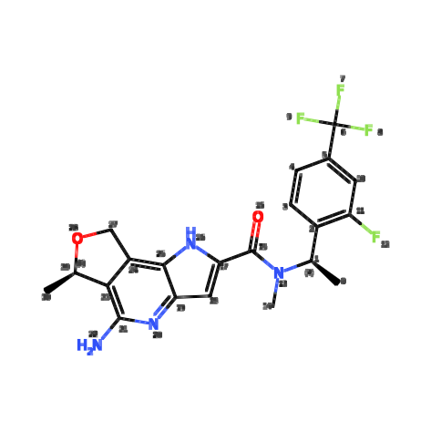 C[C@H](c1ccc(C(F)(F)F)cc1F)N(C)C(=O)c1cc2nc(N)c3c(c2[nH]1)CO[C@@H]3C